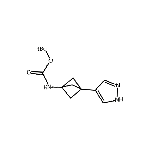 CC(C)(C)OC(=O)NC12CC(c3cn[nH]c3)(C1)C2